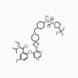 CCN(C(=O)c1cc(F)ccc1Oc1cncnc1N1CC2(CCN(CC3CCC(NS(=O)(=O)N4CCC(C(F)(F)F)C4)CC3)CC2)C1)C(C)C